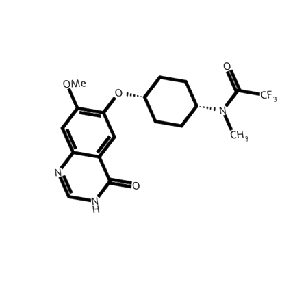 COc1cc2nc[nH]c(=O)c2cc1O[C@H]1CC[C@@H](N(C)C(=O)C(F)(F)F)CC1